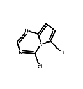 Clc1ccc2ncnc(Cl)n12